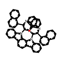 c1ccc2c(-c3nc4ccccc4nc3-n3c4ccccc4c4ccc5c6ccccc6n(-c6nc7ccccc7nc6-c6cccc7ccccc67)c5c43)cccc2c1